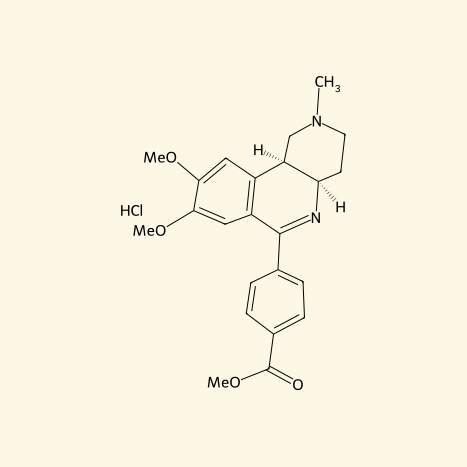 COC(=O)c1ccc(C2=N[C@@H]3CCN(C)C[C@@H]3c3cc(OC)c(OC)cc32)cc1.Cl